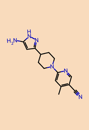 Cc1cc(N2CCC(c3cc(N)[nH]n3)CC2)ncc1C#N